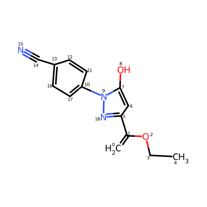 C=C(OCC)c1cc(O)n(-c2ccc(C#N)cc2)n1